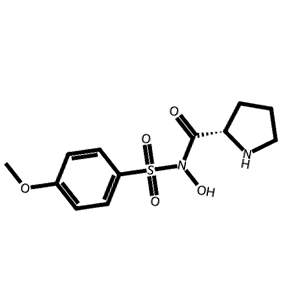 COc1ccc(S(=O)(=O)N(O)C(=O)[C@@H]2CCCN2)cc1